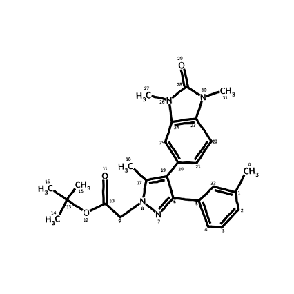 Cc1cccc(-c2nn(CC(=O)OC(C)(C)C)c(C)c2-c2ccc3c(c2)n(C)c(=O)n3C)c1